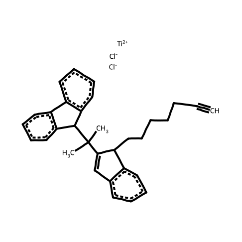 C#CCCCCCC1C(C(C)(C)C2c3ccccc3-c3ccccc32)=Cc2ccccc21.[Cl-].[Cl-].[Ti+2]